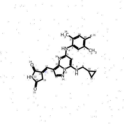 Cc1cc(Nc2cc(NCC3CC3)n3ncc(/C=C4\CC(=O)NC4=O)c3n2)c(C)cc1F